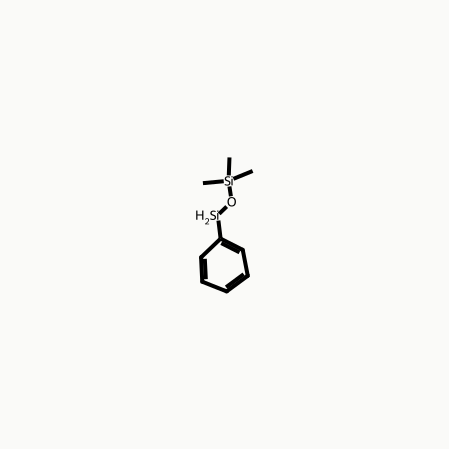 C[Si](C)(C)O[SiH2]c1ccccc1